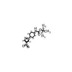 CC(C)(C)OC(=O)NC1CCC(n2cc([N+](=O)[O-])cn2)CC1